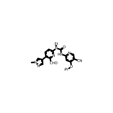 CCN(C(=O)Nc1cc(OC(C)C)c(C#N)cn1)c1ccc(-c2cnn(C)c2)c(C=O)n1